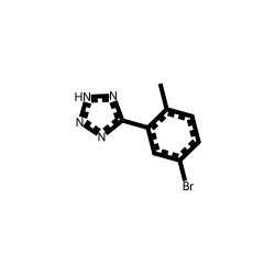 Cc1ccc(Br)cc1-c1nn[nH]n1